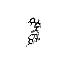 [2H]C([2H])([2H])N1C(=O)[C@@H](NC(=O)c2ncc(Cl)c(-c3cccc(F)c3F)n2)COc2cc(F)cnc21